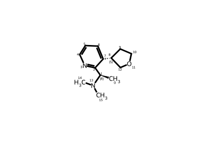 C[C@H](c1ncccc1[C@@H]1CCOC1)N(C)C